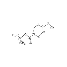 C=C(C)OC(=O)N1CCC(CBr)CC1